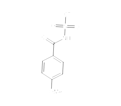 COc1ccc(C(=O)NS(=O)(=O)C(F)(F)F)cc1